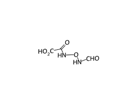 O=CNONC(=O)C(=O)O